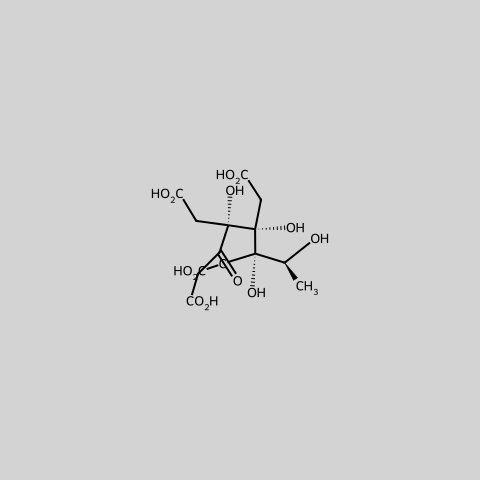 C[C@H](O)[C@@](O)(CC(=O)O)[C@](O)(CC(=O)O)[C@](O)(CC(=O)O)C(=O)CC(=O)O